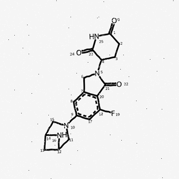 O=C1CCC(N2Cc3cc(N4CC5CC(C4)N5)cc(F)c3C2=O)C(=O)N1